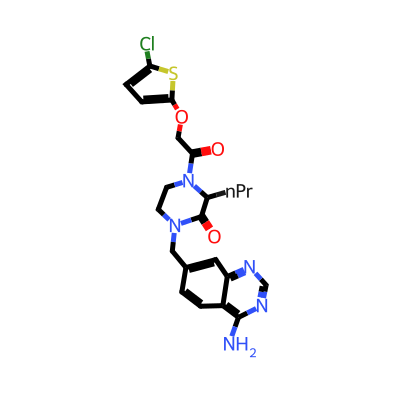 CCCC1C(=O)N(Cc2ccc3c(N)ncnc3c2)CCN1C(=O)COc1ccc(Cl)s1